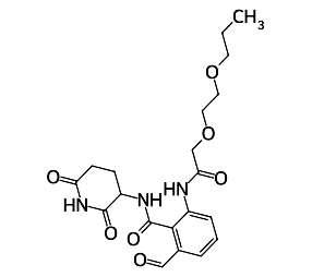 CCCOCCOCC(=O)Nc1cccc(C=O)c1C(=O)NC1CCC(=O)NC1=O